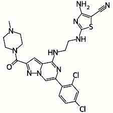 CN1CCN(C(=O)c2cc3c(NCCNc4nc(N)c(C#N)s4)nc(-c4ccc(Cl)cc4Cl)cn3n2)CC1